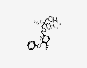 CCC(C)(C)COCc1ccc(F)c(Oc2ccccc2)n1